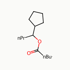 CCC[CH]C(=O)OC(CCC)C1CCCC1